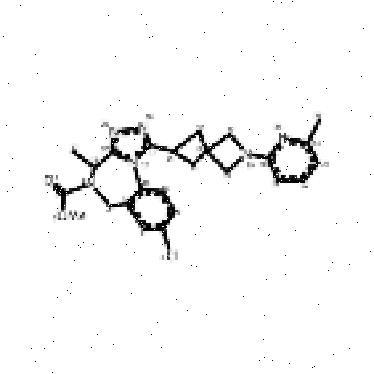 COC(=O)N1Cc2cc(Cl)ccc2-n2c(C3CC4(C3)CN(c3cccc(C)n3)C4)nnc2C1C